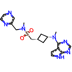 CN(Cc1cnccn1)S(=O)(=O)C[C@H]1C[C@@H](N(C)c2ncnc3[nH]ccc23)C1